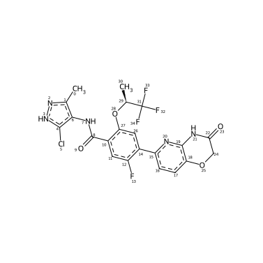 Cc1n[nH]c(Cl)c1NC(=O)c1cc(F)c(-c2ccc3c(n2)NC(=O)CO3)cc1O[C@@H](C)C(F)(F)F